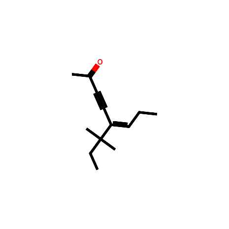 CC/C=C(\C#CC(C)=O)C(C)(C)CC